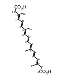 CC(/C=C/C=C(\C)CC(=O)O)=C\C=C\C=C(C)\C=C\C=C(/C)CC(=O)O